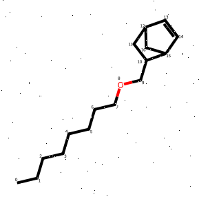 CCCCCCCCOCC1CC2C=CC1C2